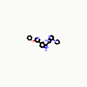 c1cc(N2CCCCC2)c2cc(-c3n[nH]c4ccc(-c5cncc(OC6CCCCC6)c5)cc34)[nH]c2n1